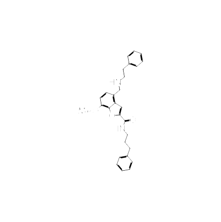 COc1ccc(CNCCc2ccccc2)c2cc(C(=O)NCCCc3ccccc3)oc12